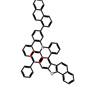 c1ccc(-c2ccc(N(c3cc(-c4cccc5c4ccc4ccccc45)ccc3-c3ccccc3)c3ccccc3-c3cccc4oc5c6ccccc6ccc5c34)cc2)cc1